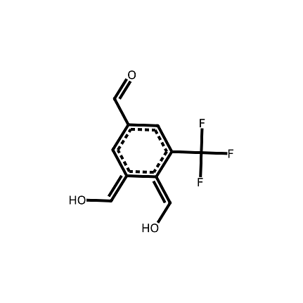 O=Cc1cc(C(F)(F)F)c(=CO)c(=CO)c1